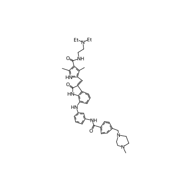 CCN(CC)CCNC(=O)c1c(C)[nH]c(C=C2C(=O)Nc3c(Nc4cccc(NC(=O)c5ccc(CN6CCN(C)CC6)cc5)c4)cccc32)c1C